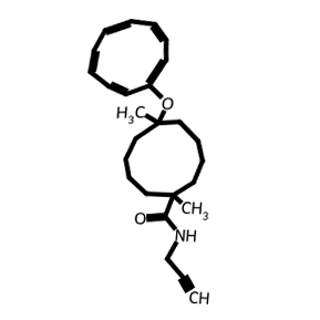 C#CCNC(=O)C1(C)CCCCC(C)(Oc2ccccccccc2)CCCC1